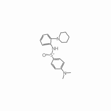 CN(C)c1ccc([S+]([O-])Nc2ccccc2N2CCCCC2)cc1